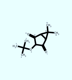 CC(C)(C)O[C]1C(=O)C2C(C1=O)C2(C)C